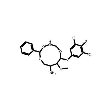 COC1C(N)COC(c2ccccc2)ONCOC1Sc1cc(Cl)c(F)c(Cl)c1